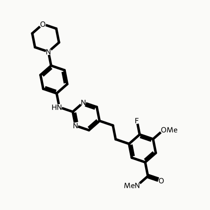 CNC(=O)c1cc(CCc2cnc(Nc3ccc(N4CCOCC4)cc3)nc2)c(F)c(OC)c1